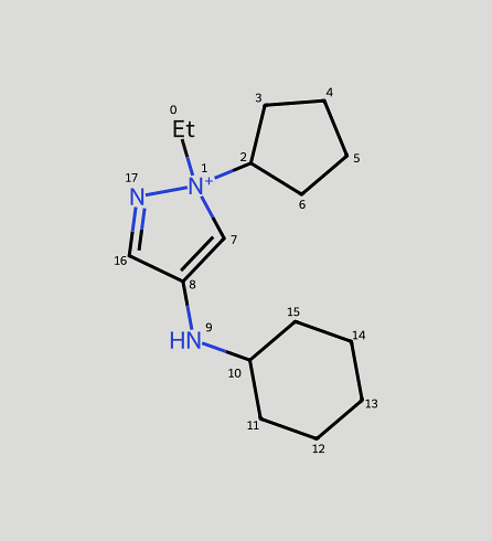 CC[N+]1(C2CCCC2)C=C(NC2CCCCC2)C=N1